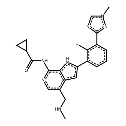 CNCc1cnc(NC(=O)C2CC2)c2[nH]c(-c3cccc(-c4ncn(C)n4)c3F)cc12